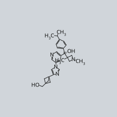 CC(C)c1ccc([C@](O)(c2cncc(-n3cnc(C45CC(CO)(C4)C5)c3)c2)C2(C)CN(C)C2)cc1